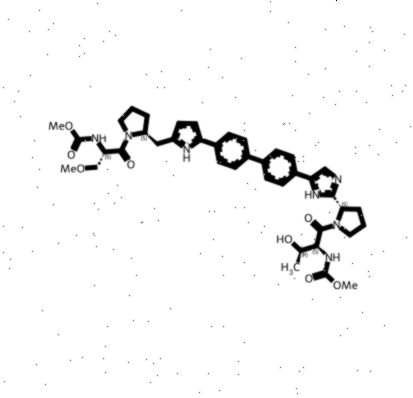 COC[C@H](NC(=O)OC)C(=O)N1CCC[C@H]1Cc1ccc(-c2ccc(-c3ccc(-c4cnc([C@@H]5CCCN5C(=O)[C@@H](NC(=O)OC)[C@@H](C)O)[nH]4)cc3)cc2)[nH]1